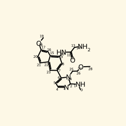 CNC1N=CC=C(c2cc(NC(=O)CN)c3cc(OC)ccc3c2)N1CCOC